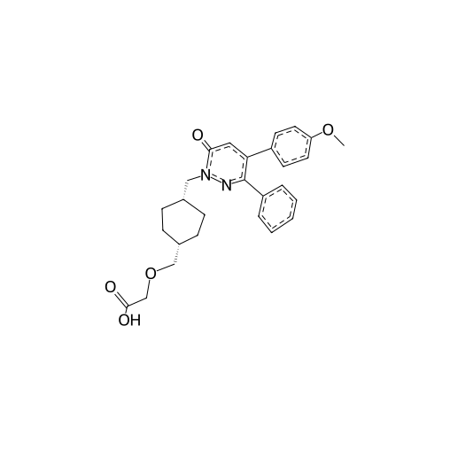 COc1ccc(-c2cc(=O)n(C[C@H]3CC[C@@H](COCC(=O)O)CC3)nc2-c2ccccc2)cc1